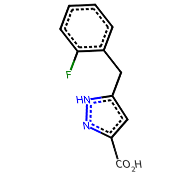 O=C(O)c1cc(Cc2ccccc2F)[nH]n1